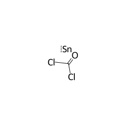 O=C(Cl)Cl.[Sn]